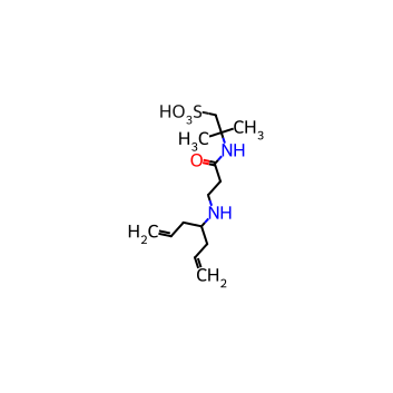 C=CCC(CC=C)NCCC(=O)NC(C)(C)CS(=O)(=O)O